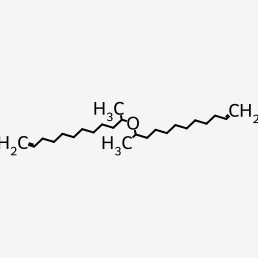 C=CCCCCCCCCC(C)OC(C)CCCCCCCCC=C